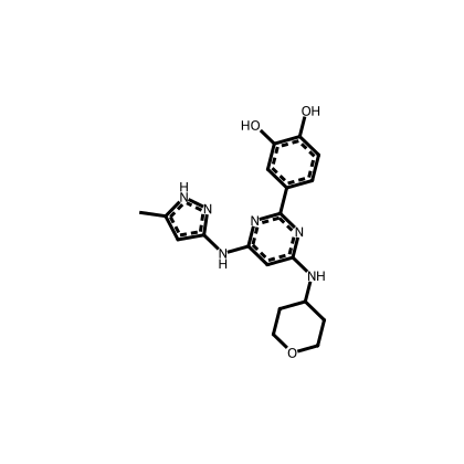 Cc1cc(Nc2cc(NC3CCOCC3)nc(-c3ccc(O)c(O)c3)n2)n[nH]1